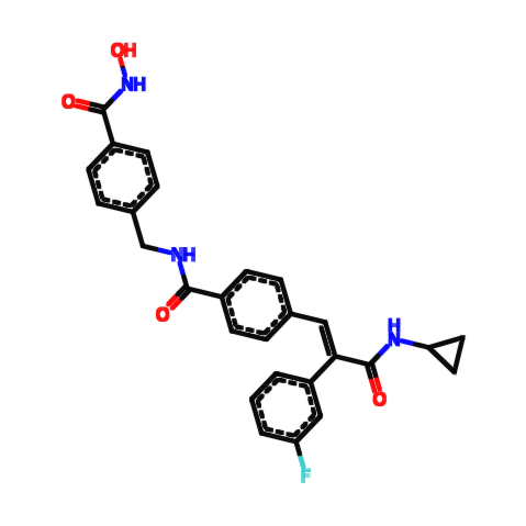 O=C(NC1CC1)/C(=C/c1ccc(C(=O)NCc2ccc(C(=O)NO)cc2)cc1)c1cccc(F)c1